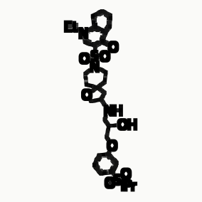 CCn1cc(S(=O)(=O)N2CCC3(CC2)CC(NCC(O)COc2cccc(S(=O)(=O)C(C)C)c2)CO3)c(=O)c2ccccc21